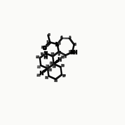 CC(=O)N1CCCNC[C]1C1NCC[C@H]2CCCC[C@@H]12